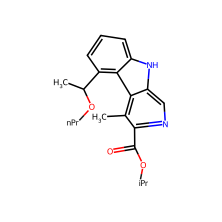 CCCOC(C)c1cccc2[nH]c3cnc(C(=O)OC(C)C)c(C)c3c12